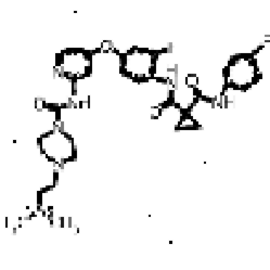 C[As](C)CCN1CCN(C(=O)Nc2cc(Oc3ccc(NC(=O)C4(C(=O)Nc5ccc(F)cc5)CC4)c(F)c3)ccn2)CC1